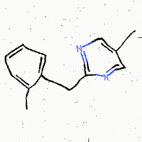 Cc1cnc(Cc2ccccc2C)nc1